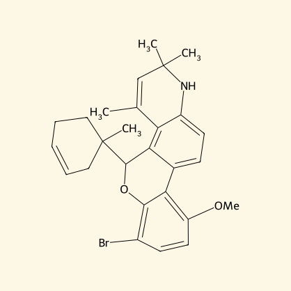 COc1ccc(Br)c2c1-c1ccc3c(c1C(C1(C)CC=CCC1)O2)C(C)=CC(C)(C)N3